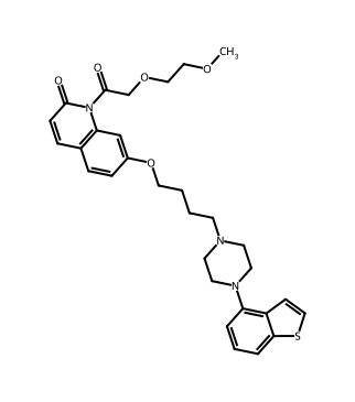 COCCOCC(=O)n1c(=O)ccc2ccc(OCCCCN3CCN(c4cccc5sccc45)CC3)cc21